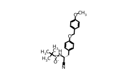 COc1ccc(COc2ccc(C[C@H](C#N)N[S+]([O-])C(C)(C)C)cc2)cc1